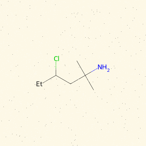 CCC(Cl)CC(C)(C)N